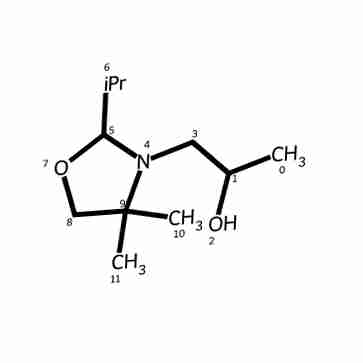 CC(O)CN1C(C(C)C)OCC1(C)C